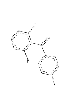 C=C(c1ccc(C)cc1)c1c(F)cccc1F